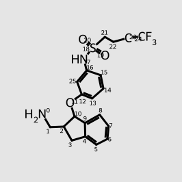 NCC1Cc2ccccc2C1Oc1cccc(NS(=O)(=O)CCCC(F)(F)F)c1